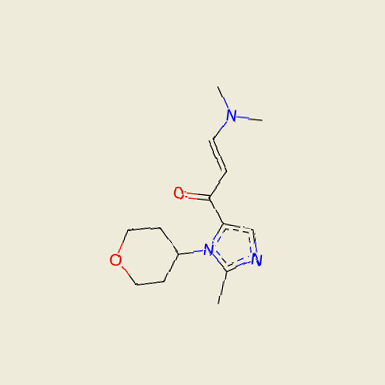 Cc1ncc(C(=O)C=CN(C)C)n1C1CCOCC1